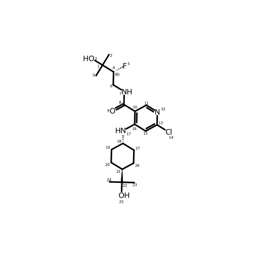 CC(C)(O)[C@H](F)CNC(=O)c1cnc(Cl)cc1N[C@H]1CC[C@H](C(C)(C)O)CC1